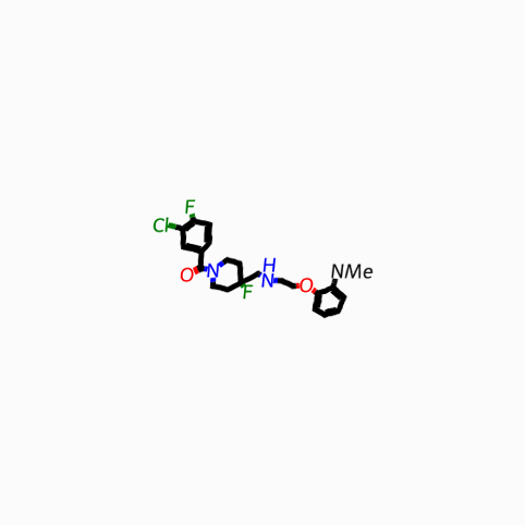 CNc1ccccc1OCCNCC1(F)CCN(C(=O)c2ccc(F)c(Cl)c2)CC1